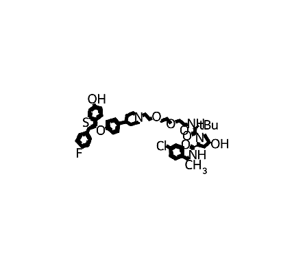 C[C@H](NC(=O)[C@@H]1C[C@@H](O)CN1C(=O)[C@@H](NC(=O)COCCOCCN1CCC(c2ccc(Oc3c(-c4ccc(F)cc4)sc4cc(O)ccc34)cc2)CC1)C(C)(C)C)c1ccc(Cl)cc1